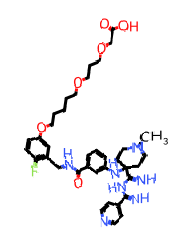 CN1CCC(Nc2cccc(C(=O)NCc3cc(OCCCCCOCCCOCC(=O)O)ccc3F)c2)(C(=N)NC(=N)c2ccncc2)CC1